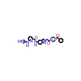 O=C(Nc1ccc2nn(CC(=O)N3CCN(C(=O)c4ccccc4)CC3)cc2c1)c1cccc(NC2CNC2)n1